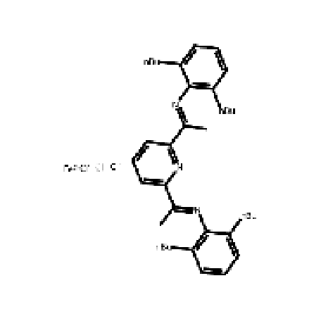 CCCCc1cccc(CCCC)c1N=C(C)c1cccc(C(C)=Nc2c(CCCC)cccc2CCCC)n1.[Cl-].[Cl-].[Cl-].[Fe+3]